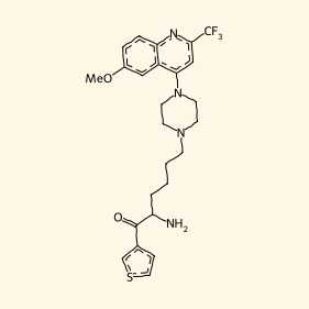 COc1ccc2nc(C(F)(F)F)cc(N3CCN(CCCCC(N)C(=O)c4ccsc4)CC3)c2c1